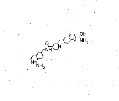 Nc1nccc2cc(CNC(=O)c3ccnc(Cc4ccc5nc(C(N)O)ccc5c4)c3)ccc12